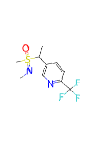 CN=S(C)(=O)C(C)c1ccc(C(F)(F)F)nc1